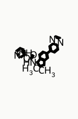 CC1(C)Cc2cc(-c3ccc4nccnc4c3)ccc2C1NC(=O)O[C@H]1CN2CCC1CC2